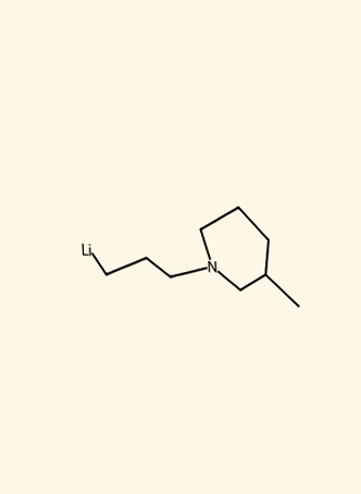 [Li][CH2]CCN1CCCC(C)C1